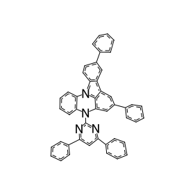 c1ccc(-c2ccc3c(c2)c2cc(-c4ccccc4)cc4c2n3-c2ccccc2N4c2nc(-c3ccccc3)cc(-c3ccccc3)n2)cc1